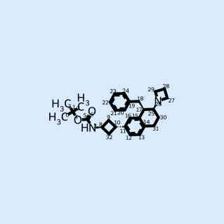 CC(C)(C)OC(=O)N[C@H]1C[C@H](c2ccc3c(c2)[C@@H](Cc2ccccc2)[C@@H](N2CCC2)CC3)C1